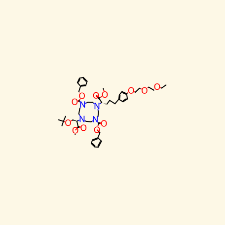 CCOCCOCCOc1ccc(CCC[C@@H](C(=O)OC)N2CCN(C(=O)OCc3ccccc3)CCN([C@H](COC(C)(C)C)C(=O)OC)CCN(C(=O)OCc3ccccc3)CC2)cc1